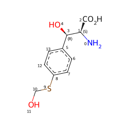 N[C@H](C(=O)O)[C@H](O)c1ccc(SCO)cc1